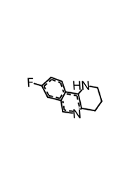 Fc1ccc2c3c(ncc2c1)CCCN3